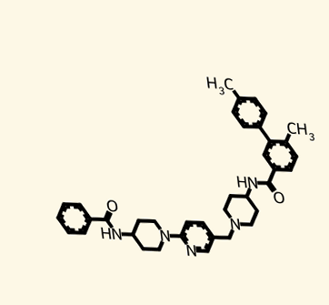 Cc1ccc(-c2cc(C(=O)NC3CCN(Cc4ccc(N5CCC(NC(=O)c6ccccc6)CC5)nc4)CC3)ccc2C)cc1